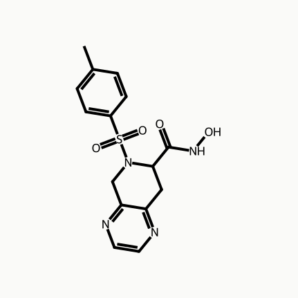 Cc1ccc(S(=O)(=O)N2Cc3nccnc3CC2C(=O)NO)cc1